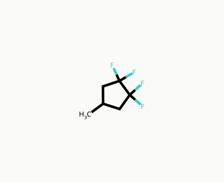 CC1CC(F)(F)C(F)(F)C1